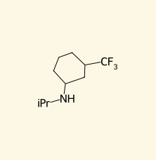 CC(C)NC1CCCC(C(F)(F)F)C1